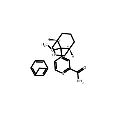 COC1(c2ccnc(C(N)=O)c2)[C@@H]2CCC[C@H]1CNC2.c1cc2cc(c1)C2